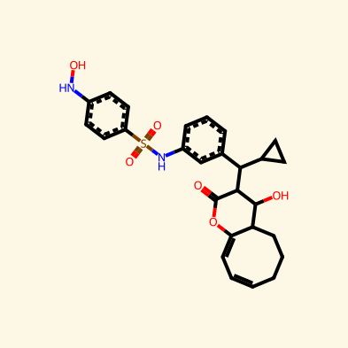 O=C1OC2=CC=CCCCC2C(O)C1C(c1cccc(NS(=O)(=O)c2ccc(NO)cc2)c1)C1CC1